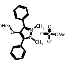 CCCCCCOc1c(-c2ccccc2)n(C)[n+](C)c1-c1ccccc1.COS(=O)(=O)[O-]